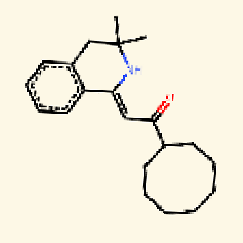 CC1(C)Cc2ccccc2/C(=C/C(=O)C2CCCCCCC2)N1